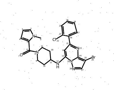 Cn1cccc1C(=O)N1CCC(Nc2cc(-c3ccccc3Cl)nc3c(Br)cnn23)CC1